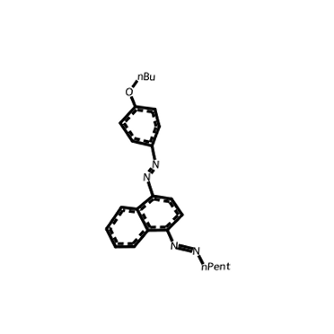 CCCCCN=Nc1ccc(N=Nc2ccc(OCCCC)cc2)c2ccccc12